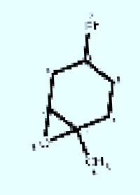 CCC1CCC2(C)OC2C1